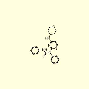 O=C(Nc1ccncc1)N(c1ccccc1)c1nccc(NC2CCOCC2)n1